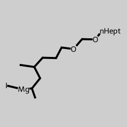 CCCCCCCOCOCCCC(C)C[CH](C)[Mg][I]